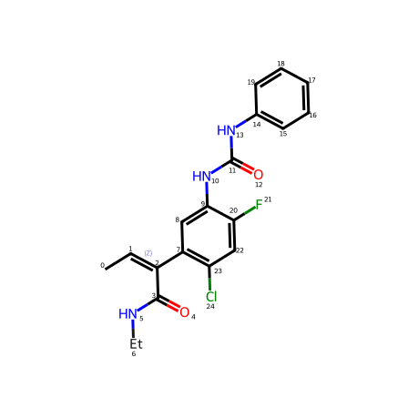 C/C=C(\C(=O)NCC)c1cc(NC(=O)Nc2ccccc2)c(F)cc1Cl